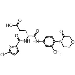 Cc1cc(NC(=O)[C@@H](CCC(=O)O)NC(=O)c2ccc(Cl)s2)ccc1N1CCOCC1=O